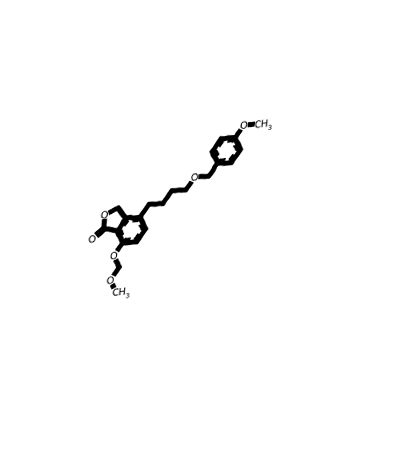 COCOc1ccc(CCCCOCc2ccc(OC)cc2)c2c1C(=O)OC2